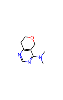 CN(C)c1ncnc2c1COCC2